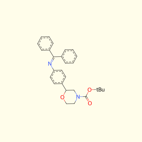 CC(C)(C)OC(=O)N1CCOC(c2ccc(N=C(c3ccccc3)c3ccccc3)cc2)C1